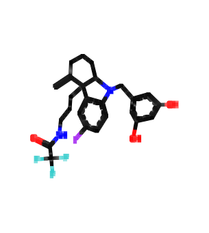 C=C1CCCC2N(Cc3cc(O)cc(O)c3)c3ccc(I)cc3C12CCCNC(=O)C(F)(F)F